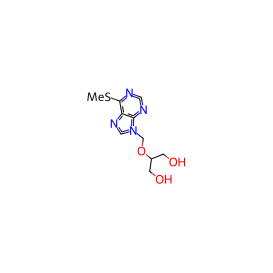 CSc1ncnc2c1ncn2COC(CO)CO